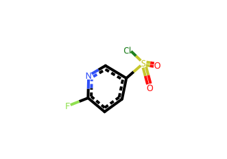 O=S(=O)(Cl)c1ccc(F)nc1